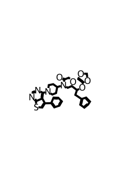 O=C1COC(C(Cc2ccccc2)OC2=COCO2)CN1C1CCN(c2ncnc3scc(-c4ccccc4)c23)CC1